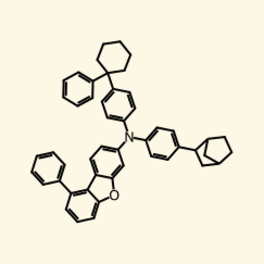 c1ccc(-c2cccc3oc4cc(N(c5ccc(C6CC7CCC6C7)cc5)c5ccc(C6(c7ccccc7)CCCCC6)cc5)ccc4c23)cc1